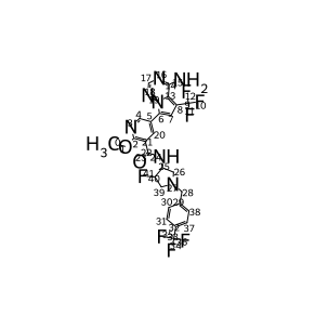 COc1ncc(-c2cc(C(F)(F)F)c3c(N)ncnn23)cc1C(=O)NC1CN(Cc2ccc(C(F)(F)F)cc2)CC1F